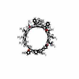 CCCC[C@H]1C(=O)N(C)[C@@H](CCCC)C(=O)N[C@@H](CC(C)C)C(=O)N[C@H](C(N)=O)CNCC(=O)N[C@@H](Cc2ccc(O)cc2)C(=O)N2CCCC[C@H]2C(=O)N[C@@H](CC(N)=O)C(=O)N2CCC[C@H]2C(=O)N[C@@H](CCC(N)=O)C(=O)N[C@@H](CCC(N)=O)C(=O)N2C[C@H](O)C[C@H]2C(=O)N[C@@H](Cc2c[nH]c3ccccc23)C(=O)N[C@@H](CC(N)=O)C(=O)N[C@@H](Cc2cn(CC(=O)O)c3ccccc23)C(=O)N1C